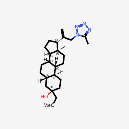 C=C(Cn1nnnc1C)[C@H]1CC[C@H]2[C@@H]3CC[C@H]4C[C@@](O)(COC)CC[C@@H]4[C@H]3CC[C@]12C